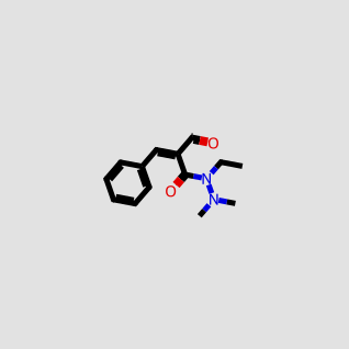 CCN(C(=O)C([C]=O)=Cc1ccccc1)N(C)C